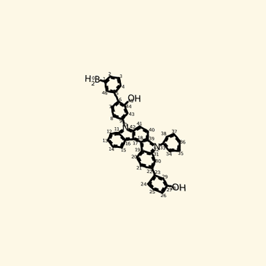 Bc1cccc(-c2ccc(-n3c4ccccc4c4c5c6ccc(-c7cccc(O)c7)cc6n(-c6ccccc6)c5ccc43)cc2O)c1